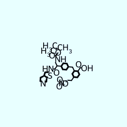 CC(C)(C)OC(=O)NCC(C(=O)Nc1cc2ccncc2s1)c1ccc(Cc2cc(CCO[N+](=O)[O-])ccc2C(=O)O)cc1